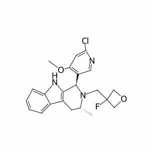 COc1cc(Cl)ncc1[C@@H]1c2[nH]c3ccccc3c2C[C@@H](C)N1CC1(F)COC1